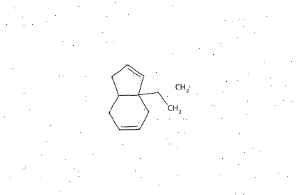 CCC12C=CCC1CC=CC2.[CH2]